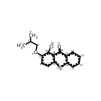 CC(C)COc1ccc2sc3ccccc3c(=O)c2c1Cl